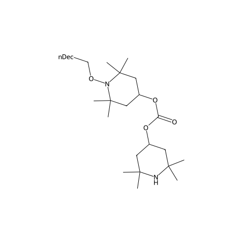 CCCCCCCCCCCON1C(C)(C)CC(OC(=O)OC2CC(C)(C)NC(C)(C)C2)CC1(C)C